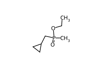 CCOP(C)(=O)CC1CC1